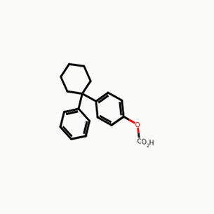 O=C(O)Oc1ccc(C2(c3ccccc3)CCCCC2)cc1